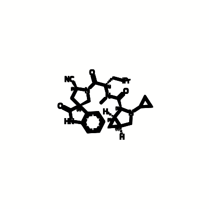 CC(C)C[C@@H](C(=O)N1C[C@]2(C[C@H]1C#N)C(=O)Nc1ccccc12)N(C)C(=O)[C@@H]1[C@@H]2C[C@@H]2CN1C1CC1